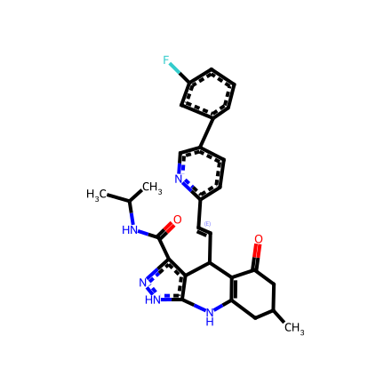 CC1CC(=O)C2=C(C1)Nc1[nH]nc(C(=O)NC(C)C)c1C2/C=C/c1ccc(-c2cccc(F)c2)cn1